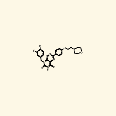 Cn1c(=O)c2nc(-c3ccc(OCCN4CCOCC4)cc3)nnc2n(Cc2ccc(F)c(F)c2)c1=O